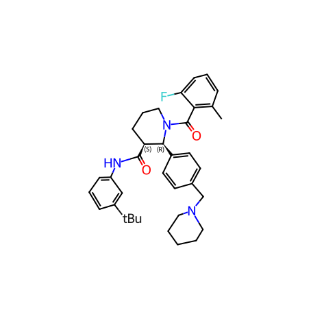 Cc1cccc(F)c1C(=O)N1CCC[C@H](C(=O)Nc2cccc(C(C)(C)C)c2)[C@@H]1c1ccc(CN2CCCCC2)cc1